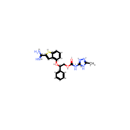 Cc1nnc(NC(=O)OCC(Oc2cccc3sc(C(=N)N)cc23)c2ccccc2)[nH]1